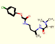 C=C(CCNC(=O)COc1ccc(Cl)cc1)NC(=O)[C@@H](C(C)C)N(C)C